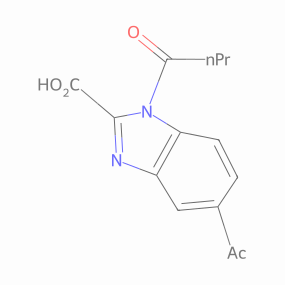 CCCC(=O)n1c(C(=O)O)nc2cc(C(C)=O)ccc21